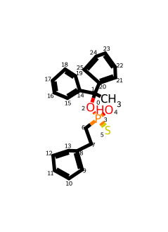 CC(OP(O)(=S)CCc1ccccc1)(c1ccccc1)c1ccccc1